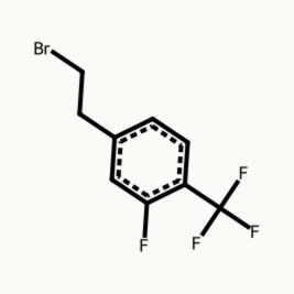 Fc1cc(CCBr)ccc1C(F)(F)F